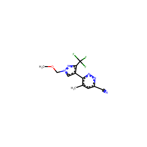 COCn1cc(-c2nnc(C#N)cc2C)c(C(F)(F)F)n1